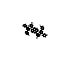 Cc1cccc(-c2cc(-c3cccc(C)c3)cc(N(c3ccc(F)cc3F)c3ccc4ccc5c(N(c6cc(-c7cccc(C)c7)cc(-c7cccc(C)c7)c6)c6ccc(F)cc6F)ccc6ccc3c4c65)c2)c1